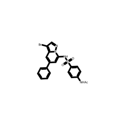 CC(=O)Nc1ccc(S(=O)(=O)Nc2cc(-c3ccccc3)cc3c(Br)cnn23)cc1